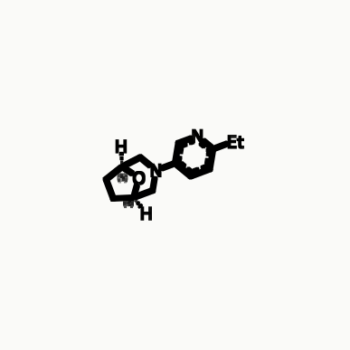 CCc1ccc(N2C[C@H]3CC[C@@H](C2)O3)cn1